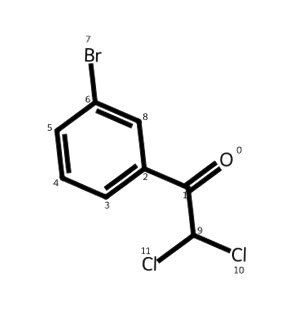 O=C(c1cccc(Br)c1)C(Cl)Cl